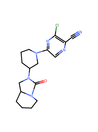 N#Cc1ncc(N2CCCC(N3CC4CCCCN4C3=O)C2)nc1Cl